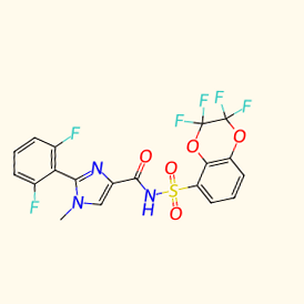 Cn1cc(C(=O)NS(=O)(=O)c2cccc3c2OC(F)(F)C(F)(F)O3)nc1-c1c(F)cccc1F